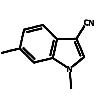 Cc1ccc2c(C#N)cn(C)c2c1